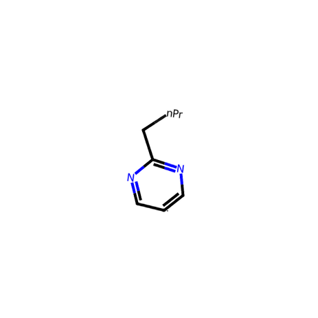 CCCCc1nc[c]cn1